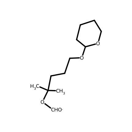 CC(C)(CCCOC1CCCCO1)O[C]=O